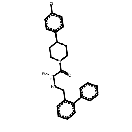 CC[C@@H](NCc1ccccc1-c1ccccc1)C(=O)N1CCC(c2ccc(Cl)cc2)CC1